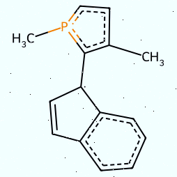 Cc1ccp(C)c1[C]1C=Cc2ccccc21